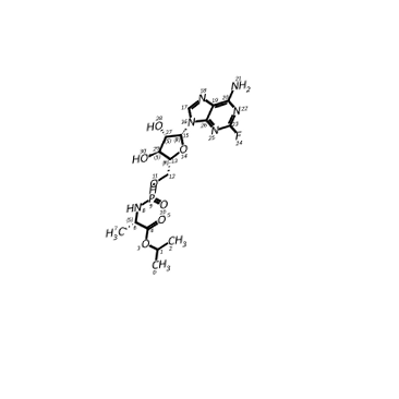 CC(C)OC(=O)[C@H](C)N[PH](=O)OC[C@H]1O[C@@H](n2cnc3c(N)nc(F)nc32)[C@@H](O)[C@@H]1O